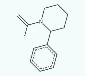 C=C(I)N1CCCCC1c1ccccc1